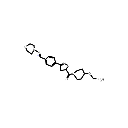 O=C(O)COC1CCN(C(=O)C2CC(c3ccc(/C=N/N4CCOCC4)cc3)=NO2)CC1